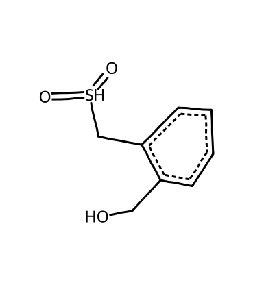 O=[SH](=O)Cc1ccccc1CO